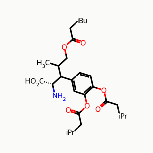 CCC(C)CC(=O)OCC(C)C(c1ccc(OC(=O)CC(C)C)c(OC(=O)CC(C)C)c1)[C@H](N)C(=O)O